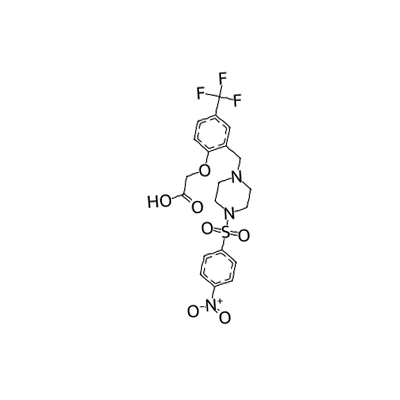 O=C(O)COc1ccc(C(F)(F)F)cc1CN1CCN(S(=O)(=O)c2ccc([N+](=O)[O-])cc2)CC1